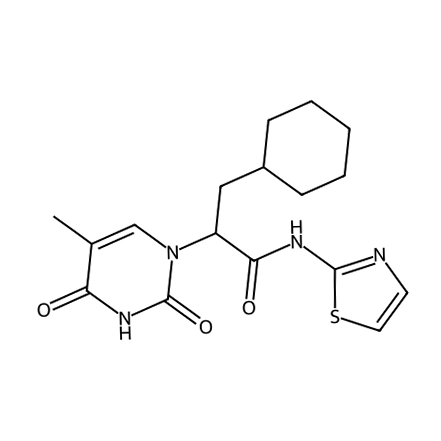 Cc1cn(C(CC2CCCCC2)C(=O)Nc2nccs2)c(=O)[nH]c1=O